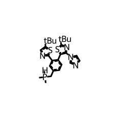 CC(C)(C)c1cnc(-c2cc(C[PH](C)(C)C)ccc2-c2sc(C(C)(C)C)nc2-n2ccnc2)s1